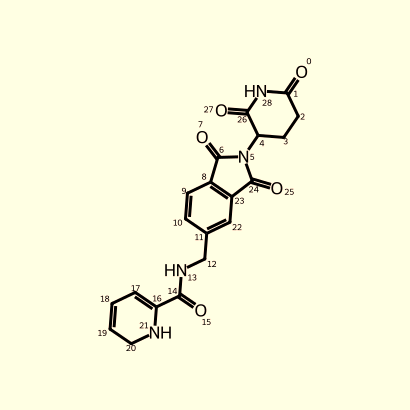 O=C1CCC(N2C(=O)c3ccc(CNC(=O)C4=CC=CCN4)cc3C2=O)C(=O)N1